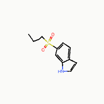 CCCS(=O)(=O)c1ccc2cc[nH]c2c1